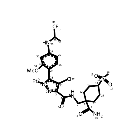 CCn1nc(C(=O)NCC2(C(N)=O)CCC(S(C)(=O)=O)CC2)c(Cl)c1-c1ccc(NC(C)C(F)(F)F)cc1OC